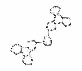 c1cc(-c2ccc3c4ccccc4c4ccccc4c3c2)cc(-c2ccc3c4ccccc4c4ccccc4c3c2)c1